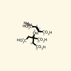 N.N.O=C(O)/C=C/C(=O)O.O=C(O)CC(O)(CC(=O)O)C(=O)O